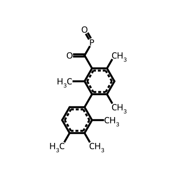 Cc1ccc(-c2c(C)cc(C)c(C(=O)P=O)c2C)c(C)c1C